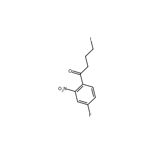 O=C(CCCI)c1ccc(F)cc1[N+](=O)[O-]